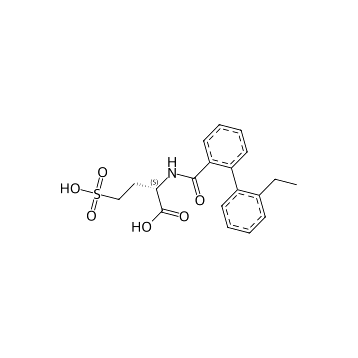 CCc1ccccc1-c1ccccc1C(=O)N[C@@H](CCS(=O)(=O)O)C(=O)O